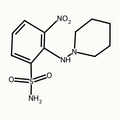 NS(=O)(=O)c1cccc([N+](=O)[O-])c1NN1CCCCC1